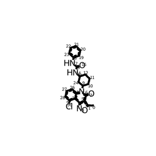 Cc1onc2c1c(=O)n(C1CCCC(NC(=O)Nc3ccccc3)C1)c1cccc(Cl)c21